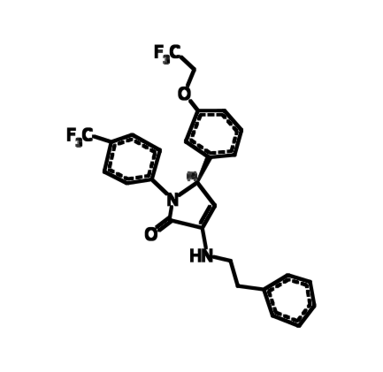 O=C1C(NCCc2ccccc2)=C[C@H](c2cccc(OCC(F)(F)F)c2)N1c1ccc(C(F)(F)F)cc1